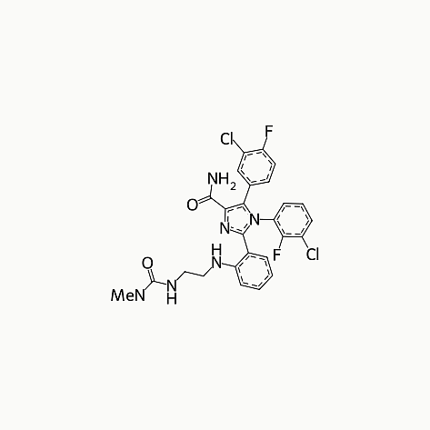 CNC(=O)NCCNc1ccccc1-c1nc(C(N)=O)c(-c2ccc(F)c(Cl)c2)n1-c1cccc(Cl)c1F